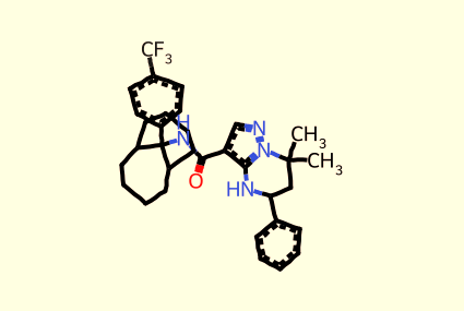 CC1(C)CC(c2ccccc2)Nc2c(C(=O)NC3(c4ccc(C(F)(F)F)cc4)C4CCCCC3CCCC4)cnn21